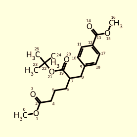 COC(=O)CCCC(Cc1ccc(C(=O)OC)cc1)C(=O)OC(C)(C)C